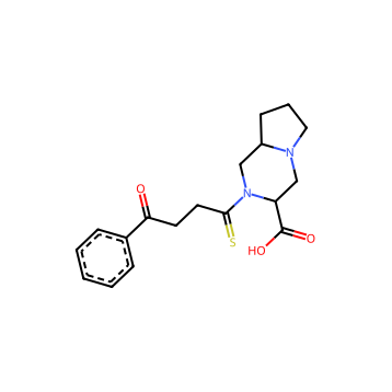 O=C(CCC(=S)N1CC2CCCN2CC1C(=O)O)c1ccccc1